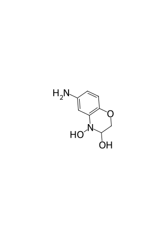 Nc1ccc2c(c1)N(O)C(O)CO2